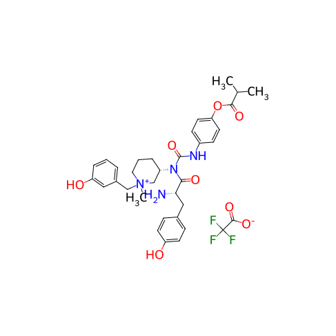 CC(C)C(=O)Oc1ccc(NC(=O)N(C(=O)[C@@H](N)Cc2ccc(O)cc2)[C@H]2CCC[N+](C)(Cc3cccc(O)c3)C2)cc1.O=C([O-])C(F)(F)F